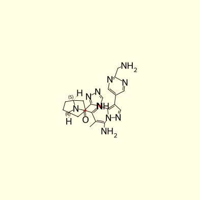 Cc1c(C2C[C@H]3CC[C@@H](C2)N3C(=O)c2nnc[nH]2)nc2c(-c3cnc(CN)nc3)cnn2c1N